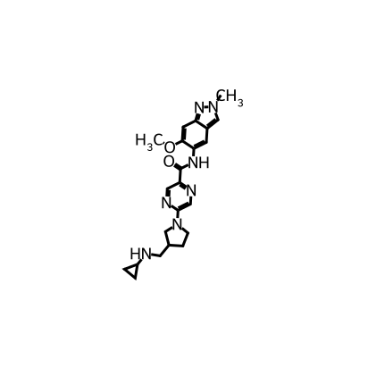 COc1cc2nn(C)cc2cc1NC(=O)c1cnc(N2CCC(CNC3CC3)C2)cn1